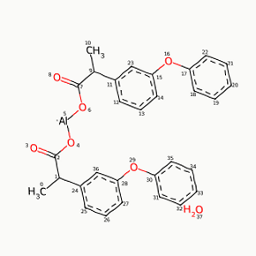 CC(C(=O)[O][Al][O]C(=O)C(C)c1cccc(Oc2ccccc2)c1)c1cccc(Oc2ccccc2)c1.O